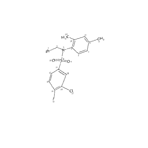 Cc1ccc(N(CC(C)C)S(=O)(=O)c2ccc(F)c(Cl)c2)c(C)c1